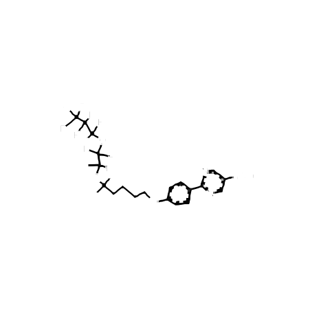 CCCCCCCCc1cnc(-c2ccc(OCCCCC(F)(F)OC(F)(F)C(F)(F)OC(F)(F)C(F)(F)C(F)(F)C(F)(F)F)cc2)nc1